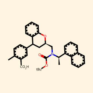 Cc1ccc(C2C[C@H](CN(C(=O)OC(C)(C)C)[C@H](C)c3cccc4ccccc34)Oc3ccccc32)cc1C(=O)O